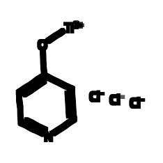 [Cl-].[Cl-].[Cl-].[Ti+3][O]c1ccncc1